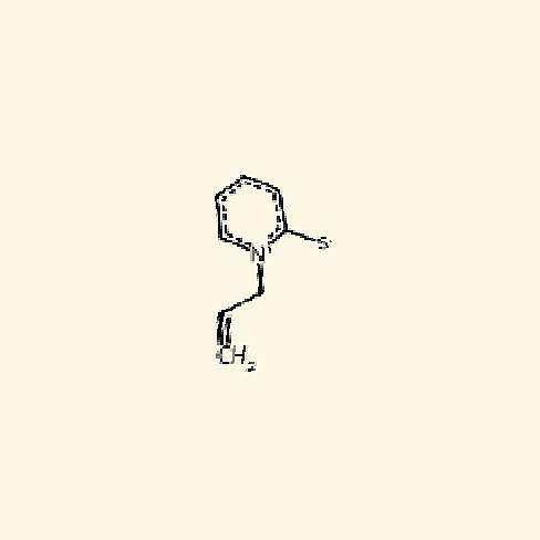 C=CC[n+]1ccccc1[S]